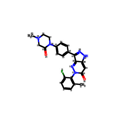 Cc1cccc(F)c1-n1nc2c(-c3ccc(N4CCN(C)CC4=O)cc3)n[nH]c2cc1=O